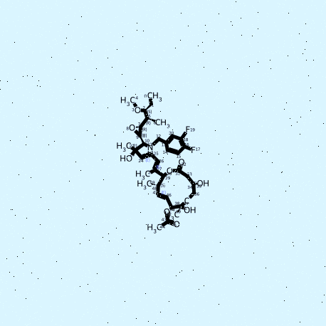 CC[C@H](OC)[C@@H](C)[C@H]1O[C@@H]1C(NCc1ccc(F)c(F)c1)C(C)(O)/C=C/C=C(\C)C1OC(=O)C[C@H](O)CC[C@@](C)(O)[C@@H](OC(C)=O)/C=C/[C@@H]1C